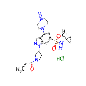 C=CC(=O)N1CCC(n2ncc3c(N4CCNCC4)cc(S(=O)(=O)NC4(C)CC4)cc32)C1.Cl